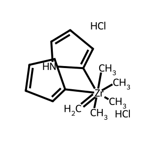 Cl.Cl.[CH2]=[Zr]([CH3])([CH3])([CH3])([CH3])([C]1=CC=CC1)[c]1ccc[nH]1